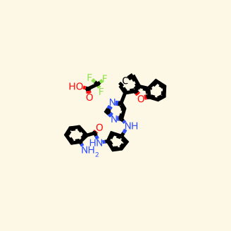 Nc1ccccc1C(=O)Nc1cccc(Nc2cc(-c3cccc4c3oc3ccccc34)ncn2)c1.O=C(O)C(F)(F)F